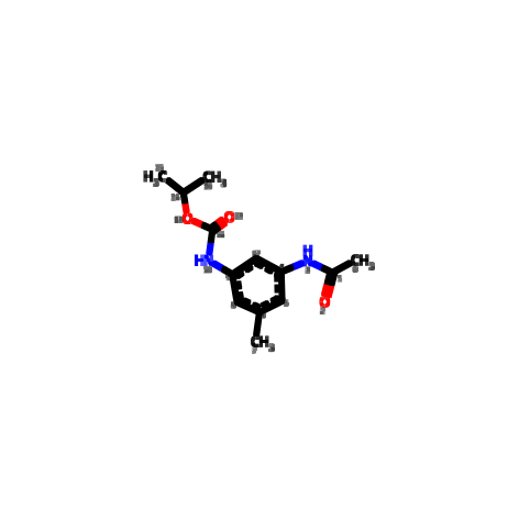 CC(=O)Nc1cc(C)cc(NC(=O)OC(C)C)c1